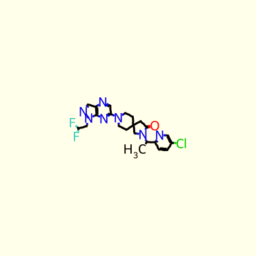 CC(c1ccc(Cl)cn1)N1CC2(CCN(c3cnc4cnn(CC(F)F)c4n3)CC2)CC1=O